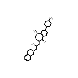 CN1CCN(CC(O)CN2CCc3ccccc3C2)C(=O)c2ccc(C3=CCC(C(F)(F)F)CC3)cc21